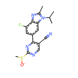 Cc1nc2c(F)cc(-c3nc([S+](C)[O-])ncc3C#N)cc2n1C(C)C